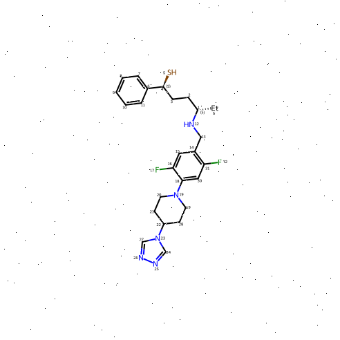 CC[C@@H](CC[C@H](S)c1ccccc1)NCc1cc(F)c(N2CCC(n3cnnc3)CC2)cc1F